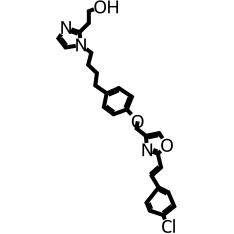 OCCc1nccn1CCCCc1ccc(OCc2coc(C=Cc3ccc(Cl)cc3)n2)cc1